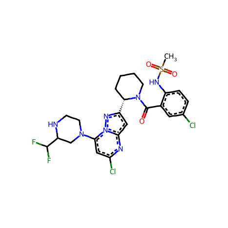 CS(=O)(=O)Nc1ccc(Cl)cc1C(=O)N1CCCC[C@H]1c1cc2nc(Cl)cc(N3CCNC(C(F)F)C3)n2n1